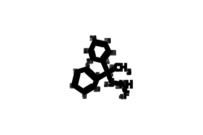 CC(SNF)(c1ccccc1)c1ccccc1